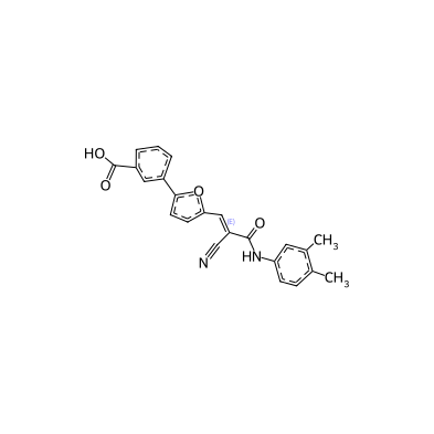 Cc1ccc(NC(=O)/C(C#N)=C/c2ccc(-c3cccc(C(=O)O)c3)o2)cc1C